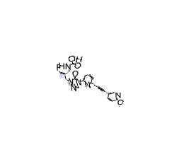 COc1ccc(C#Cc2cccc(-n3cnn(C/C(=C/F)CNC(=O)O)c3=O)n2)cn1